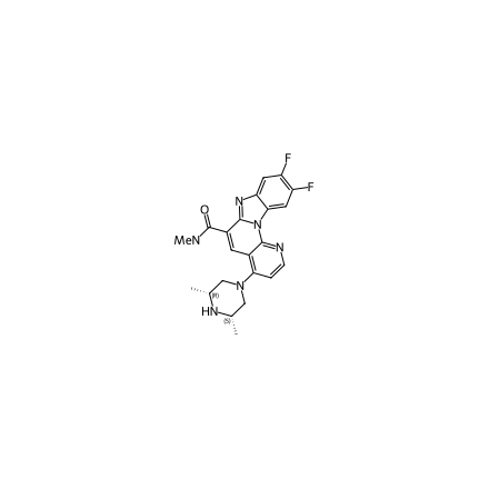 CNC(=O)c1cc2c(N3C[C@@H](C)N[C@@H](C)C3)ccnc2n2c1nc1cc(F)c(F)cc12